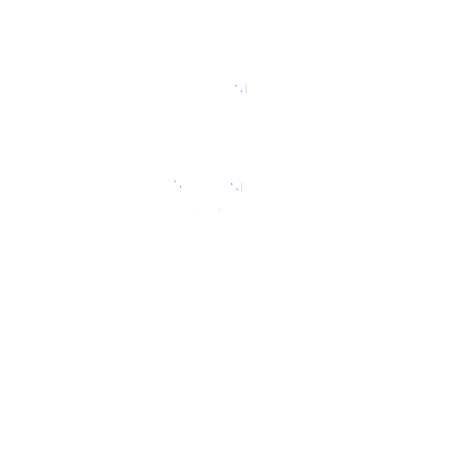 CCc1ccc(-c2ccc(C(=O)NC(CC(=O)NO)C(C)N)cc2)cc1